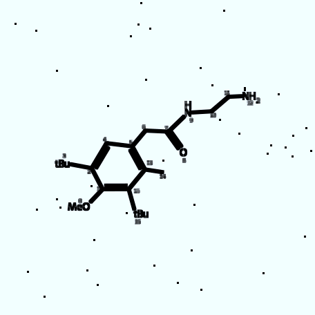 COc1c(C(C)(C)C)cc(CC(=O)NCCN)c(C)c1C(C)(C)C